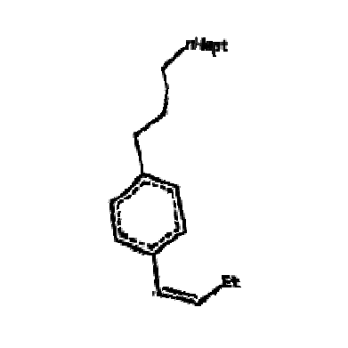 CC/C=[C]\c1ccc(CCCCCCCCCC)cc1